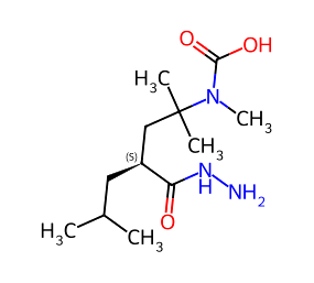 CC(C)C[C@@H](CC(C)(C)N(C)C(=O)O)C(=O)NN